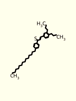 CCCCCCCCCCCCCCCc1ccc(C(=S)C=Cc2ccc(CCCC)c(CCCC)c2)cc1